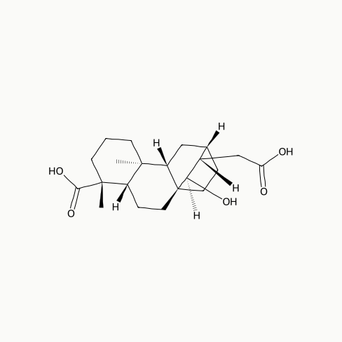 C[C@@]12CCC[C@@](C)(C(=O)O)[C@H]1CC[C@@]13CC[C@@H](C[C@@H]21)[C@H](CC(=O)O)[C@H]3O